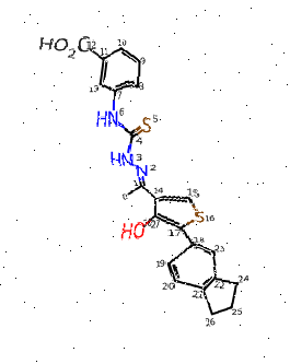 C/C(=N\NC(=S)Nc1cccc(C(=O)O)c1)c1csc(-c2ccc3c(c2)CCC3)c1O